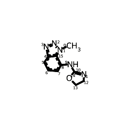 Cn1nnc2cccc(NC3=NCCO3)c21